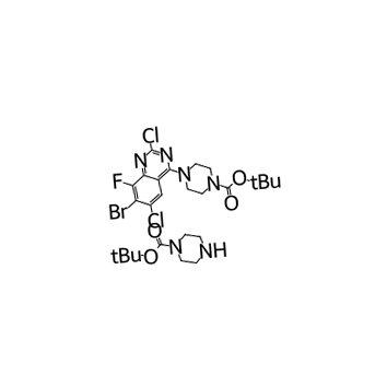 CC(C)(C)OC(=O)N1CCN(c2nc(Cl)nc3c(F)c(Br)c(Cl)cc23)CC1.CC(C)(C)OC(=O)N1CCNCC1